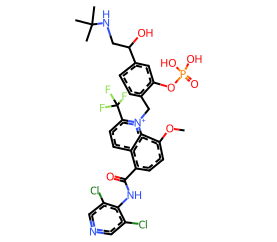 COc1ccc(C(=O)Nc2c(Cl)cncc2Cl)c2ccc(C(F)(F)F)[n+](Cc3ccc(C(O)CNC(C)(C)C)cc3OP(=O)(O)O)c12